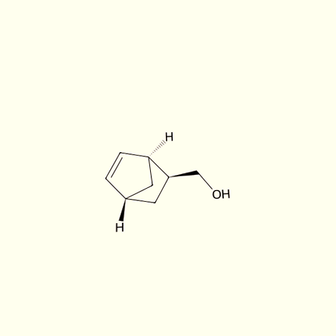 OC[C@H]1C[C@@H]2C=C[C@@H]1C2